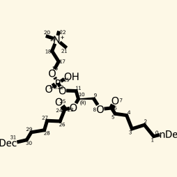 CCCCCCCCCCCCCCCC(=O)OC[C@H](COP(=O)(O)OCC[N+](C)(C)C)OC(=O)CCCCCCCCCCCCCCC